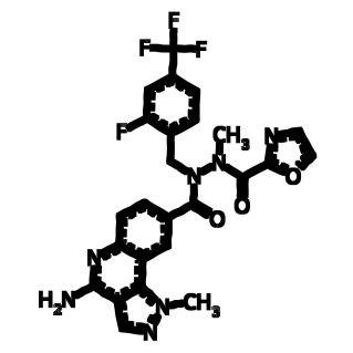 CN(C(=O)c1ncco1)N(Cc1ccc(C(F)(F)F)cc1F)C(=O)c1ccc2nc(N)c3cnn(C)c3c2c1